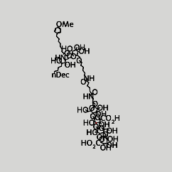 CCCCCCCCCCCCCC[C@@H](O)[C@@H](O)[C@H](COC1OC(COCCCCCCNC(=O)CCCCC(=O)NCCOC2OC(CO)C(OC3OC(C(=O)O)C(O)C(OC4OC(CO)C(OC5OC(C(=O)O)C(O)C(O)C5O)C(O)C4O)C3O)C(O)C2O)C(O)C(O)C1O)NC(=O)CCCCCCCc1ccc(OC)cc1